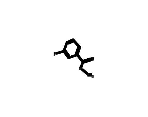 COC(=O)c1[c]c(F)ccc1